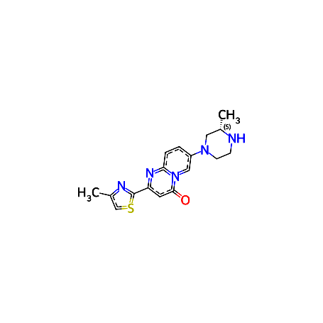 Cc1csc(-c2cc(=O)n3cc(N4CCN[C@@H](C)C4)ccc3n2)n1